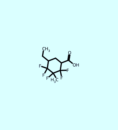 CCC1CC(C(=O)O)C(F)(F)C(C)(F)C1(F)F